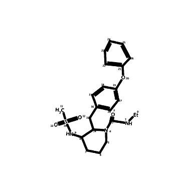 CCNC(=O)N1CCCC(NS(C)(=O)=O)C1Cc1ccc(Oc2ccccc2)cc1